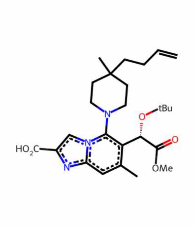 C=CCCC1(C)CCN(c2c([C@H](OC(C)(C)C)C(=O)OC)c(C)cc3nc(C(=O)O)cn23)CC1